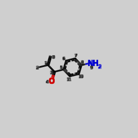 C=C(C)C(=O)c1ccc(N)cc1